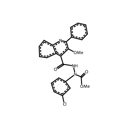 COC(=O)N(NC(=O)c1c(OC)c(-c2ccccc2)nc2ccccc12)c1cccc(Cl)c1